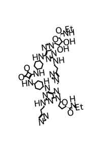 CCNC(=O)[C@@H]1CC[C@H](n2cnc3c(N[C@H]4CC[C@H](Nc5c(N[C@H]6CC[C@H](Nc7nc(NCCc8cn(C)cn8)nc8c7ncn8[C@@H]7O[C@H](C(=O)NCC)[C@@H](O)[C@H]7O)CC6)c(=O)c5=O)CC4)nc(NCCc4cn(C)cn4)nc32)O1